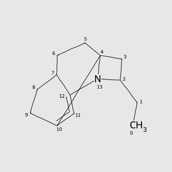 CCC1CC23CCC4CCC2=C=C4N13